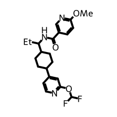 CCC(NC(=O)c1ccc(OC)nc1)C1CCC(c2ccnc(OC(F)F)c2)CC1